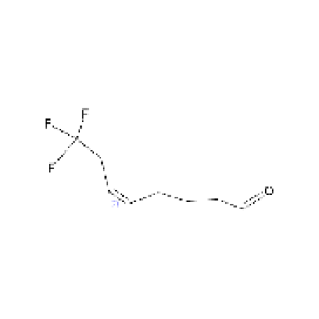 O=CCCC/C=C\CC(F)(F)F